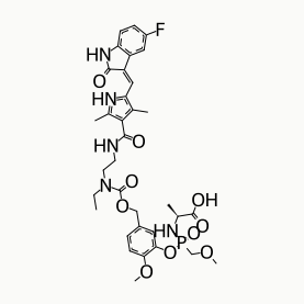 CCN(CCNC(=O)c1c(C)[nH]c(/C=C2\C(=O)Nc3ccc(F)cc32)c1C)C(=O)OCc1ccc(OC)c(OP(=O)(COC)N[C@@H](C)C(=O)O)c1